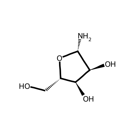 N[C@H]1O[C@@H](CO)[C@H](O)[C@@H]1O